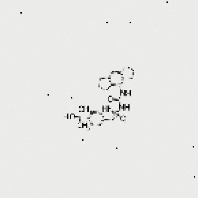 CC(C)(O)c1ccc(C[S@](=N)(=O)NC(=O)Nc2c3c(cc4c2CCC4)CCC3)cc1